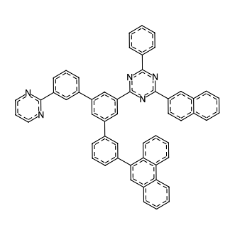 c1ccc(-c2nc(-c3cc(-c4cccc(-c5ncccn5)c4)cc(-c4cccc(-c5cc6ccccc6c6ccccc56)c4)c3)nc(-c3ccc4ccccc4c3)n2)cc1